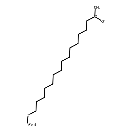 CCCCCOCCCCCCCCCCCCCC[S+](C)[O-]